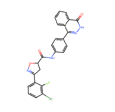 O=C(Nc1ccc(-c2n[nH]c(=O)c3ccccc23)cc1)C1CC(c2cccc(Cl)c2F)=NO1